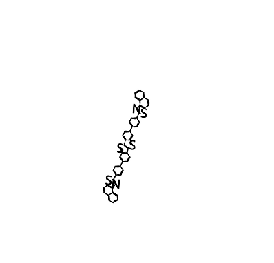 c1ccc2c(c1)ccc1sc(-c3ccc(-c4ccc5c(c4)sc4c6ccc(-c7ccc(-c8nc9c(ccc%10ccccc%109)s8)cc7)cc6sc54)cc3)nc12